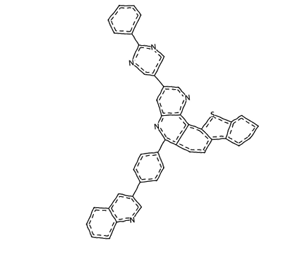 c1ccc(-c2ncc(-c3cnc4c(c3)nc(-c3ccc(-c5cnc6ccccc6c5)cc3)c3ccc5c6ccccc6sc5c34)cn2)cc1